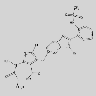 CCc1nc2c(n1Cc1ccc3oc(-c4ccccc4NS(=O)(=O)C(F)(F)F)c(Br)c3c1)C(=O)NC(C(=O)O)C(=O)N2C